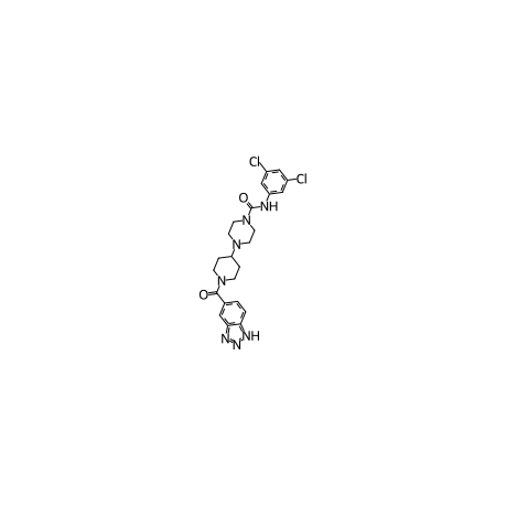 O=C(Nc1cc(Cl)cc(Cl)c1)N1CCN(C2CCN(C(=O)c3ccc4[nH]nnc4c3)CC2)CC1